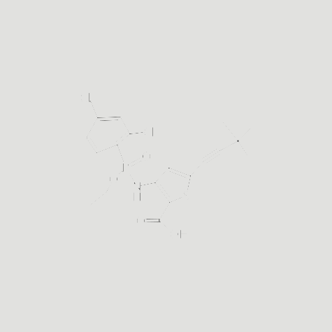 CCOP(=O)(Nc1cc(C#CC(C)(C)C)sc1C(=O)O)c1ccc(Cl)cc1Cl